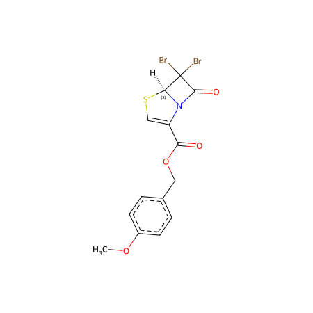 COc1ccc(COC(=O)C2=CS[C@@H]3N2C(=O)C3(Br)Br)cc1